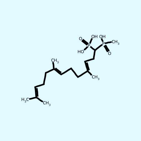 CC(C)=CCCC(C)=CCCC(C)=CCC(P(C)(=O)O)P(=O)(O)O